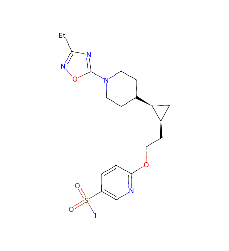 CCc1noc(N2CCC([C@H]3C[C@H]3CCOc3ccc(S(=O)(=O)I)cn3)CC2)n1